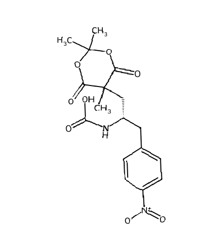 CC1(C)OC(=O)C(C)(C[C@H](Cc2ccc([N+](=O)[O-])cc2)NC(=O)O)C(=O)O1